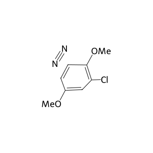 COc1ccc(OC)c(Cl)c1.N#N